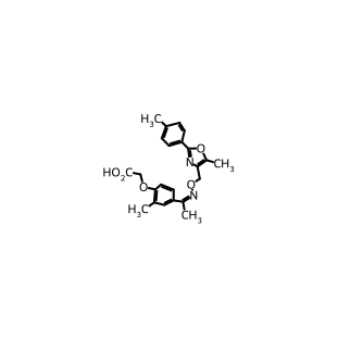 C/C(=N/OCc1nc(-c2ccc(C)cc2)oc1C)c1ccc(OCC(=O)O)c(C)c1